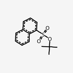 CC(C)(C)OS(=O)(=O)c1cccc2ccccc12